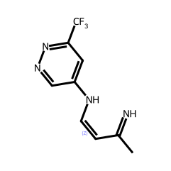 CC(=N)/C=C\Nc1cnnc(C(F)(F)F)c1